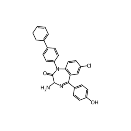 NC1N=C(c2ccc(O)cc2)c2cc(Cl)ccc2N(c2ccc(C3=CC=CCC3)cc2)C1=O